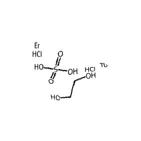 Cl.Cl.O=S(=O)(O)O.OCCO.[Er].[Tb]